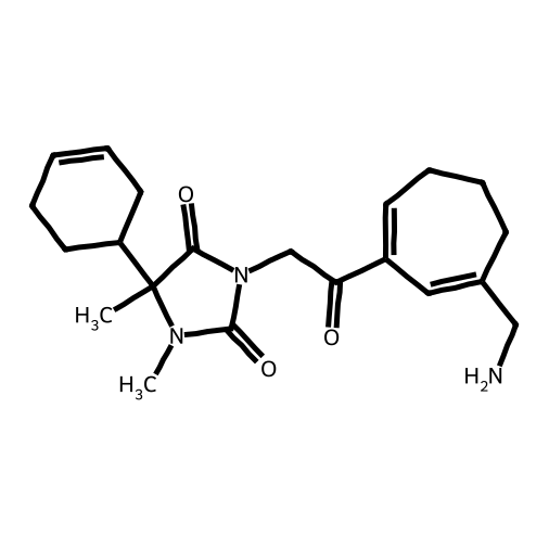 CN1C(=O)N(CC(=O)C2=CCCCC(CN)=C2)C(=O)C1(C)C1CC=CCC1